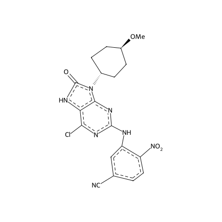 CO[C@H]1CC[C@H](n2c(=O)[nH]c3c(Cl)nc(Nc4cc(C#N)ccc4[N+](=O)[O-])nc32)CC1